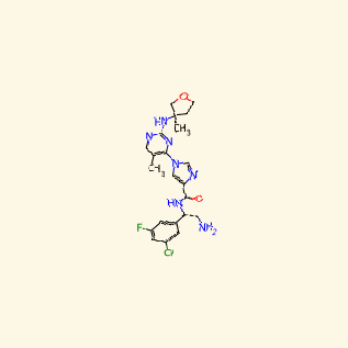 Cc1cnc(N[C@@]2(C)CCOC2)nc1-n1cnc(C(=O)NC(CN)c2cc(F)cc(Cl)c2)c1